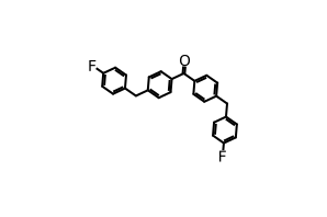 O=C(c1ccc(Cc2ccc(F)cc2)cc1)c1ccc(Cc2ccc(F)cc2)cc1